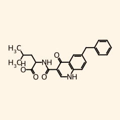 CC(C)CC(NC(=O)c1c[nH]c2ccc(Cc3ccccc3)cc2c1=O)C(=O)O